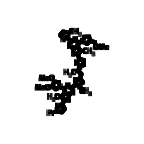 COCC1CCN(c2nc(-c3nccn3C)nc3sc(-c4ccn(C(C)Cc5cn(C)c(-c6nc(N7C[C@H](OC)[C@H](OC)C7)c7c(C)c(-c8ccn(C(C)C)n8)sc7n6)n5)n4)c(C)c23)C1